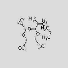 C(OCC1CO1)C1CO1.C=C(C)C(=O)OCC1CO1.C=CC